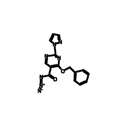 [N-]=[N+]=NC(=O)c1cnc(-n2cccn2)nc1OCc1ccccc1